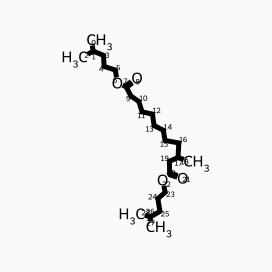 CC(C)CCCOC(=O)CCCCCCCCC(C)CC(=O)OCCCC(C)C